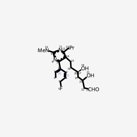 C/C=C(\C=C/CF)c1nc(NC)nc(C(C)C)c1CC[C@@H](O)CC(O)CC=O